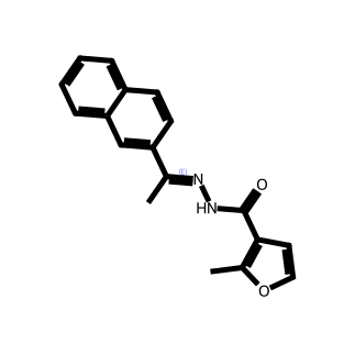 C/C(=N\NC(=O)c1ccoc1C)c1ccc2ccccc2c1